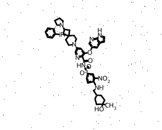 CC(C)c1ccccc1[C@@H]1CCCN1C1CC2(CCN(c3cnc(C(=O)NS(=O)(=O)c4ccc(NCC5CCC(C)(O)CC5)c([N+](=O)[O-])c4)c(Oc4cnc5[nH]ccc5c4)c3)CC2)C1